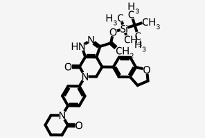 C=C(O[Si](C)(C)C(C)(C)C)c1n[nH]c2c1C(c1ccc3c(c1)CCO3)CN(c1ccc(N3CCCCC3=O)cc1)C2=O